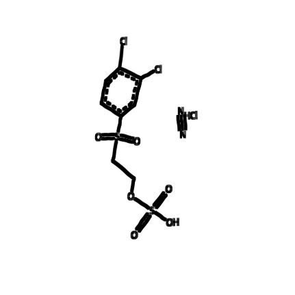 Cl.N#N.O=S(=O)(O)OCCS(=O)(=O)c1ccc(Cl)c(Cl)c1